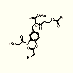 CCC(=O)OCCN[C@@H](Cc1ccc(OC(=O)CC(C)(C)C)c(OC(=O)CC(C)(C)C)c1)C(=O)OC